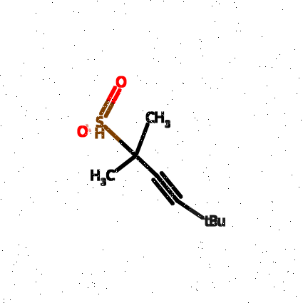 CC(C)(C)C#CC(C)(C)[SH](=O)=O